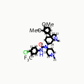 COc1ccc(C23CCC(N(C(=O)Nc4ccc(Cl)c(C(F)(F)F)c4)C4CCN(C)CC4)CC2N(C)CC3)cc1OC